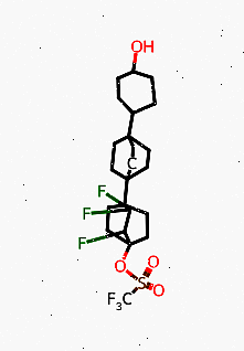 O=S(=O)(OC12CCC(C34CCC(C5CCC(O)CC5)(CC3)CC4)(CC1)C(F)(F)C2F)C(F)(F)F